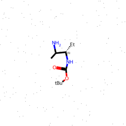 CC[C@H](NC(=O)OC(C)(C)C)C(C)N